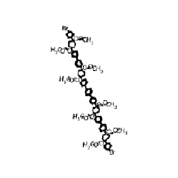 COCOC1(c2ccc(Br)cc2)CCC(OCOC)(c2ccc(-c3ccc(C4(OCOC)CCC(OCOC)(c5ccc(-c6ccc(-c7ccc(C8(OCOC)CCC(OCOC)(c9ccc(-c%10ccc(C%11(OCOC)CCC(OCOC)(c%12ccc(Br)cc%12)CC%11)cc%10)cc9)CC8)cc7)cc6)cc5)CC4)cc3)cc2)CC1